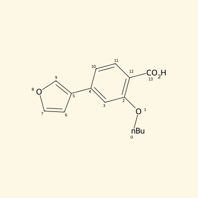 CCCCOc1cc(-c2ccoc2)ccc1C(=O)O